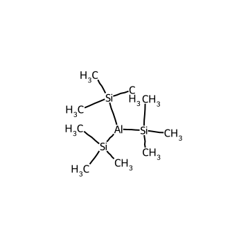 C[Si](C)(C)[Al]([Si](C)(C)C)[Si](C)(C)C